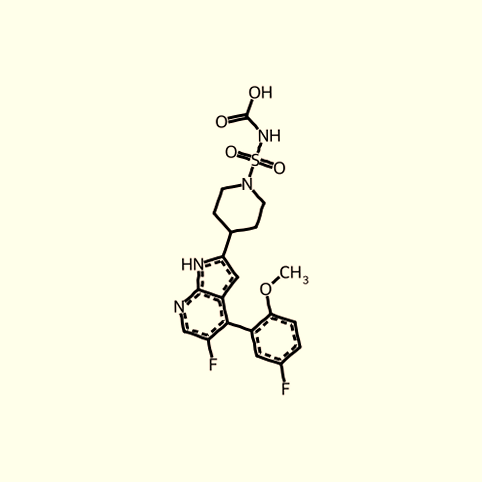 COc1ccc(F)cc1-c1c(F)cnc2[nH]c(C3CCN(S(=O)(=O)NC(=O)O)CC3)cc12